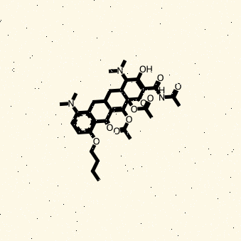 CCCCOc1ccc(N(C)C)c2c1C(=O)C1=C(OC(C)=O)C3(OC(C)=O)C(=O)C(C(=O)NC(C)=O)=C(O)C(N(C)C)C3CC1C2